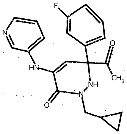 CC(=O)C1(c2cccc(F)c2)C=C(Nc2cccnc2)C(=O)N(CC2CC2)N1